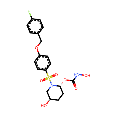 O=C(NO)O[C@@H]1CC[C@@H](O)CN1S(=O)(=O)c1ccc(OCc2ccc(F)cc2)cc1